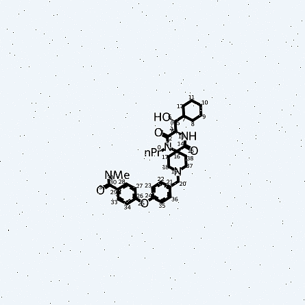 CCCN1C(=O)[C@@H]([C@H](O)C2CCCCC2)NC(=O)C12CCN(Cc1ccc(Oc3ccc(C(=O)NC)cc3)cc1)CC2